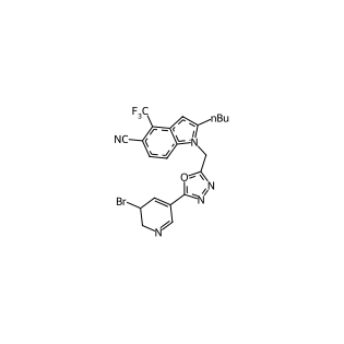 CCCCc1cc2c(C(F)(F)F)c(C#N)ccc2n1Cc1nnc(C2=CC(Br)CN=C2)o1